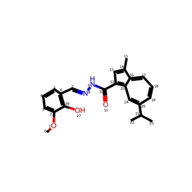 COc1cccc(C=NNC(=O)c2cc(C)c3cccc(C(C)C)cc2-3)c1O